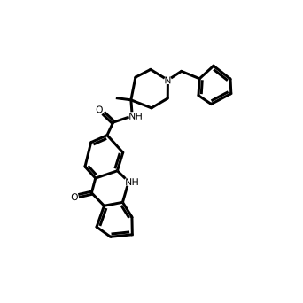 CC1(NC(=O)c2ccc3c(=O)c4ccccc4[nH]c3c2)CCN(Cc2ccccc2)CC1